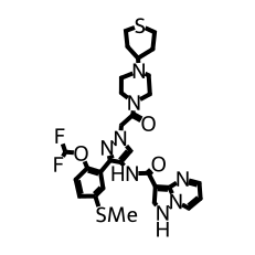 CSc1ccc(OC(F)F)c(-c2nn(CC(=O)N3CCN(C4CCSCC4)CC3)cc2NC(=O)C2=C3N=CC=CN3NC2)c1